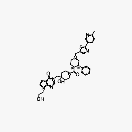 Cc1ccc(-c2ncc(CN3CC[C@@H](C(=O)N4CCC(O)(Cn5cnc6c(ccn6CCO)c5=O)CC4)[C@H](c4ccccc4)C3)s2)cn1